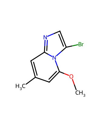 COc1cc(C)cc2ncc(Br)n12